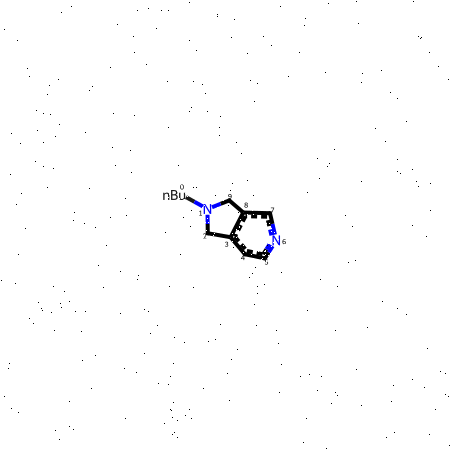 CCCCN1Cc2ccncc2C1